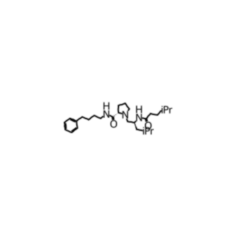 CC(C)CCC(=O)N[C@@H](CC(C)C)CN1CCC[C@H]1C(=O)NCCCCc1ccccc1